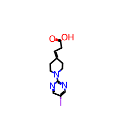 O=C(O)CC=C1CCN(c2ncc(I)cn2)CC1